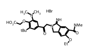 Br.CCOc1cc2c(cc1C(=O)NC)C(=N)N(CC(=O)c1cc(N(C)C)c(OCC(=O)O)c(C(C)(C)C)c1)C2